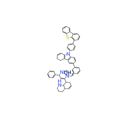 CN(Cc1cccc(-c2ccc3c(c2)c2c(n3-c3ccc(-c4cccc5c4sc4ccccc45)cc3)C=CCC2)c1)/C(=C\C(N)c1ccccc1)C1CC=CC2CCCNC21